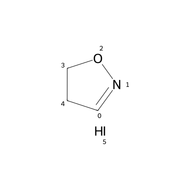 C1=NOCC1.I